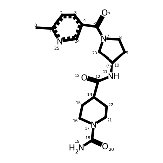 Cc1ccc(C(=O)N2CC[C@@H](NC(=O)C3CCN(C(N)=O)CC3)C2)cn1